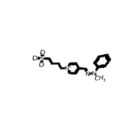 CN(N=Cc1cc[n+](CCCCS(=O)(=O)[O-])cc1)c1ccccc1